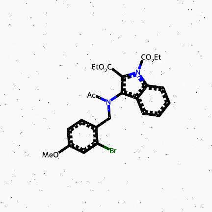 CCOC(=O)c1c(N(Cc2ccc(OC)cc2Br)C(C)=O)c2ccccc2n1C(=O)OCC